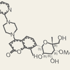 CO[C@@H]1[C@H](O)[C@@H](O)[C@H](c2ccc3c(N4CCN(c5ncccn5)CC4)cc(=O)oc3c2C)O[C@]1(C)CO